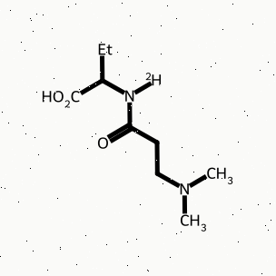 [2H]N(C(=O)CCN(C)C)C(CC)C(=O)O